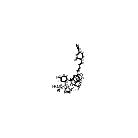 C[C@@H](S[C@H]1CO[C@H](C=CC=Cc2ccc(C#N)cc2F)OC1)[C@@](Cn1cncn1)(OC(=O)c1ccc(F)cc1COP(=O)(O)O)c1ccc(F)cc1F